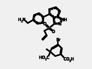 C=CCS(=O)(=O)c1n[nH]c2cccc(-c3ccc(CN)cc3)c12.CC1(C(=O)O)C=C(Br)C=C(C(=O)O)C1